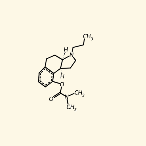 CCCN1CC[C@H]2c3c(cccc3OC(=O)N(C)C)CC[C@H]21